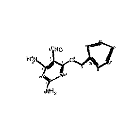 Nc1nc(N)c(C=O)c(OCc2ccccc2)n1